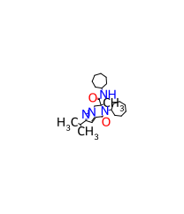 CC(C)c1cc2n(n1)CC(C)(C(=O)NC1CCCCCC1)N(C1CCCCCC1)C2=O